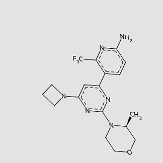 C[C@H]1COCCN1c1nc(-c2ccc(N)nc2C(F)(F)F)cc(N2CCC2)n1